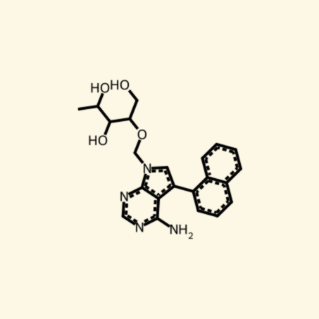 CC(O)C(O)C(CO)OCn1cc(-c2cccc3ccccc23)c2c(N)ncnc21